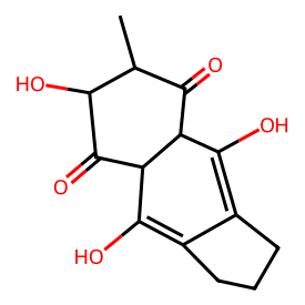 CC1C(=O)C2C(O)=C3CCCC3=C(O)C2C(=O)C1O